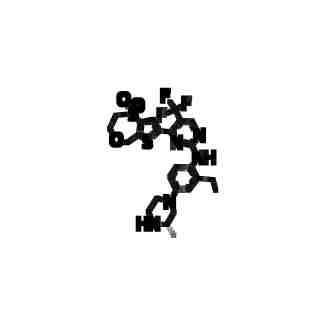 CCc1cc(N2CCN[C@@H](C)C2)ccc1Nc1ncc(C(F)(F)F)c(-c2cc3c(s2)COCCS3(=O)=O)n1